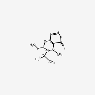 CCP1OC2=C(C(=S)CC=C2)C(C)N1C(C)C